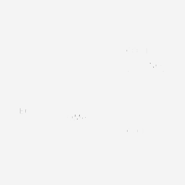 CCc1cccc(C2=CC(C(=O)O)=CC(C(=O)O)([N+](=O)[O-])C2)c1OC